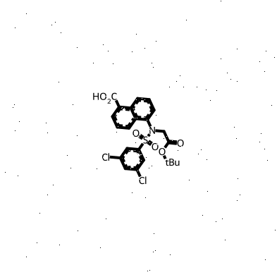 CC(C)(C)OC(=O)CN(c1cccc2c(C(=O)O)cccc12)S(=O)(=O)c1cc(Cl)cc(Cl)c1